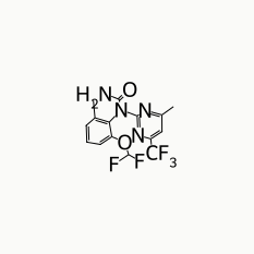 Cc1cc(C(F)(F)F)nc(N(C(N)=O)c2c(C)cccc2OC(F)F)n1